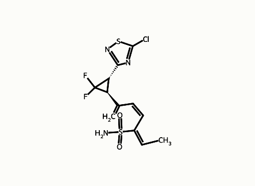 C=C(/C=C\C(=C/C)S(N)(=O)=O)[C@@H]1[C@@H](c2nsc(Cl)n2)C1(F)F